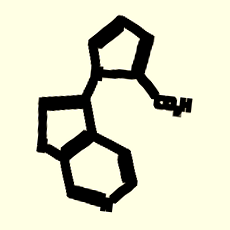 O=C(O)c1cccn1-c1csc2cnccc12